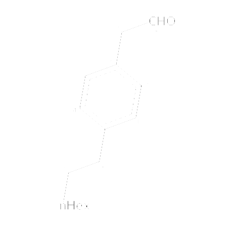 CCCCCCCCc1ccc(CC=O)cc1